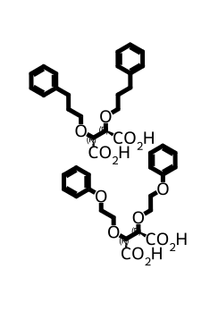 O=C(O)[C@H](OCCCc1ccccc1)[C@@H](OCCCc1ccccc1)C(=O)O.O=C(O)[C@H](OCCOc1ccccc1)[C@@H](OCCOc1ccccc1)C(=O)O